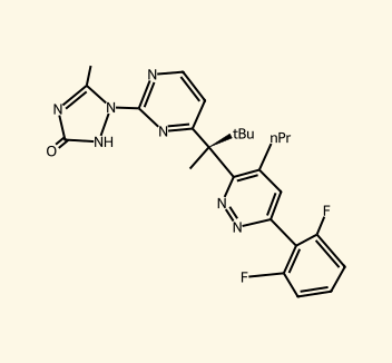 CCCc1cc(-c2c(F)cccc2F)nnc1[C@](C)(c1ccnc(-n2[nH]c(=O)nc2C)n1)C(C)(C)C